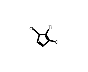 ClC1=[C]([Ti])C(Cl)C=C1